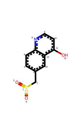 O=[SH](=O)Cc1ccc2nccc(O)c2c1